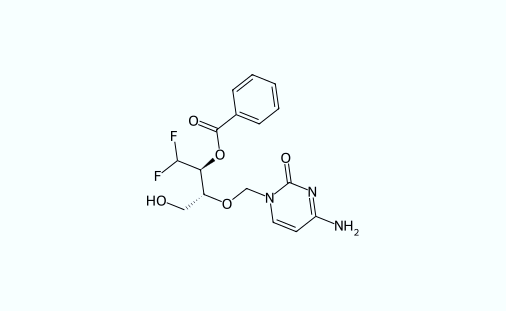 Nc1ccn(CO[C@H](CO)[C@H](OC(=O)c2ccccc2)C(F)F)c(=O)n1